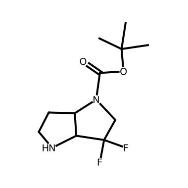 CC(C)(C)OC(=O)N1CC(F)(F)C2NCCC21